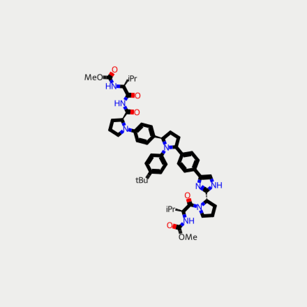 COC(=O)N[C@H](C(=O)NC(=O)[C@@H]1CCCN1c1ccc([C@H]2CCC(c3ccc(-c4c[nH]c([C@@H]5CCCN5C(=O)[C@@H](NC(=O)OC)C(C)C)n4)cc3)N2c2ccc(C(C)(C)C)cc2)cc1)C(C)C